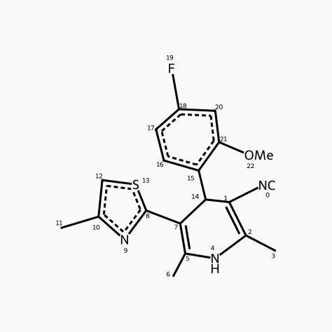 [C-]#[N+]C1=C(C)NC(C)=C(c2nc(C)cs2)C1c1ccc(F)cc1OC